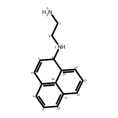 NCCNC1C=Cc2cccc3cccc1c23